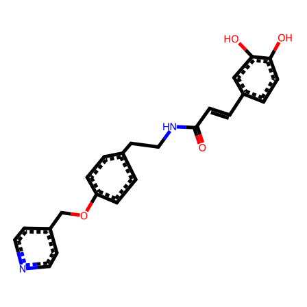 O=C(/C=C/c1ccc(O)c(O)c1)NCCc1ccc(OCc2ccncc2)cc1